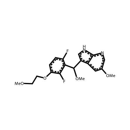 COCCOc1ccc(F)c(C(OC)c2c[nH]c3ncc(OC)cc23)c1F